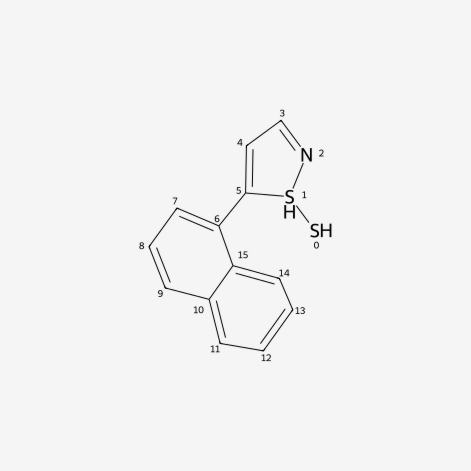 S[SH]1N=CC=C1c1cccc2ccccc12